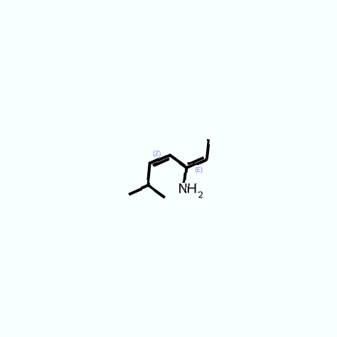 C/C=C(N)\C=C/C(C)C